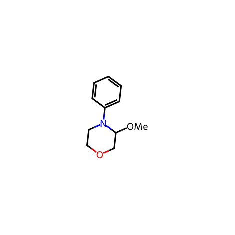 COC1COCCN1c1ccccc1